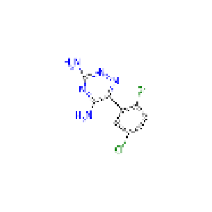 Nc1nnc(-c2cc(Cl)ccc2Br)c(N)n1